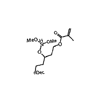 C=C(C)C(=O)OCCC(CCCCCCCCCCCC)O[SiH](OC)OC